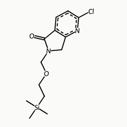 C[Si](C)(C)CCOCN1Cc2nc(Cl)ccc2C1=O